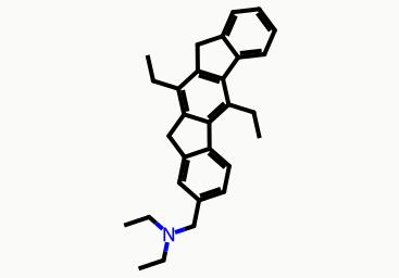 CCc1c2c(c(CC)c3c1Cc1cc(CN(CC)CC)ccc1-3)-c1ccccc1C2